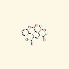 O=C(Cl)c1cc(C(=O)Cl)c(-c2ccccc2)c(C(=O)Cl)c1C(=O)Cl